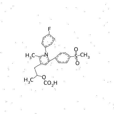 Cc1c(CC(C)OC(=O)O)cc(-c2ccc(S(C)(=O)=O)cc2)n1-c1ccc(F)cc1